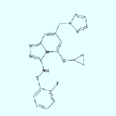 Fc1ccccc1SNc1nnc2cc(Cn3cccn3)cc(OC3CC3)n12